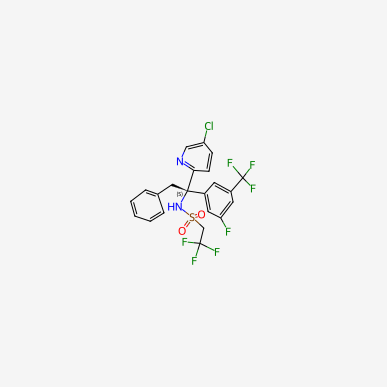 O=S(=O)(CC(F)(F)F)N[C@@](Cc1ccccc1)(c1cc(F)cc(C(F)(F)F)c1)c1ccc(Cl)cn1